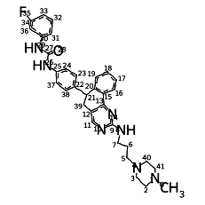 CN1CCN(CCCNc2ncc3c(n2)-c2ccccc2C(c2ccc(NC(=O)Nc4cccc(F)c4)cc2)C3)CC1